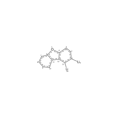 [Li][c]1ccc2oc3ccccc3c2[c]1[Li]